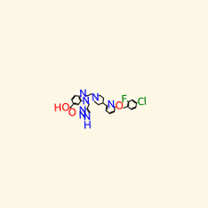 O=C(O)c1ccc2nc(CN3CCC(c4cccc(OCc5ccc(Cl)cc5F)n4)CC3)n(Cc3c[nH]nn3)c2c1